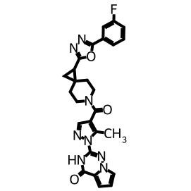 Cc1c(C(=O)N2CCC3(CC2)CC3c2nnc(-c3cccc(F)c3)o2)cnn1-c1nn2cccc2c(=O)[nH]1